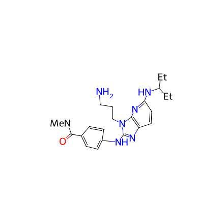 CCC(CC)Nc1ccc2nc(Nc3ccc(C(=O)NC)cc3)n(CCCN)c2n1